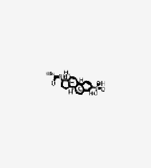 CC(C)(C)C(=O)NC1CC[C@H]2[C@@H]3CCC4C=C(P(=O)(O)O)C=C[C@]4(C)[C@@H]3CC[C@]12C